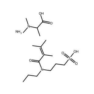 CC(C(=O)O)N(C)C.CCCN(CCCS(=O)(=O)O)C(=O)C(C)=C(C)C.N